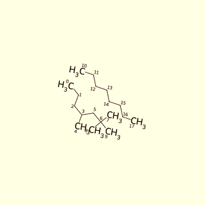 CCCC(C)CC(C)(C)C.CCCCCCCC